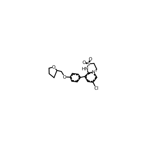 O=S1(=O)CC[n+]2cc(Cl)cc(-c3ccc(OCC4CCCO4)cc3)c2N1